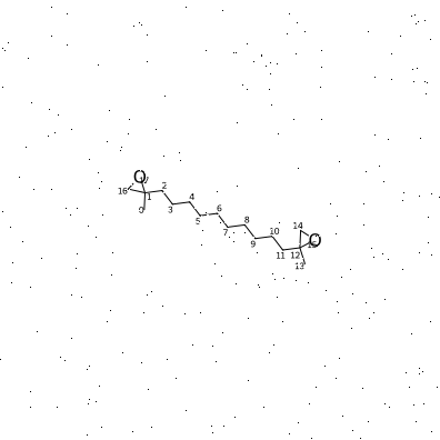 CC1(CCCCCCCCCCC2(C)CO2)CO1